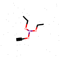 C#COP(OCC)OCC